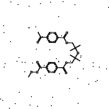 COOC(=O)c1ccc(C(=O)OC[Si](C)(C)O[Si](C)(C)COC(=O)c2ccc(C(C)=O)cc2)cc1